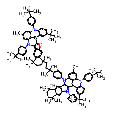 Cc1cc2c3c(c1)N(c1ccc(C(C)(C)C)cc1)c1c(oc4cc5c(cc14)C(C)(C)CCC5(C)CCC(C)(C)c1ccc(N4c5cc(C)cc6c5B(c5cc(C(C)(C)C)ccc5N6c5ccc(C(C)(C)C)cc5)c5c4c4cc6c(cc4n5-c4ccccc4)C(C)(C)CCC6(C)C)cc1)B3c1cc(C(C)(C)C)ccc1N2c1ccc(C(C)(C)C)cc1